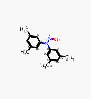 Cc1cc(C)cc(N(N=O)c2cc(C)cc(C)c2)c1